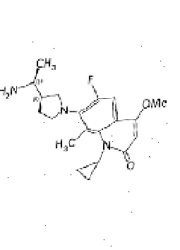 COc1cc(=O)n(C2CC2)c2c(C)c(N3CC[C@@H]([C@H](C)N)C3)c(F)cc12